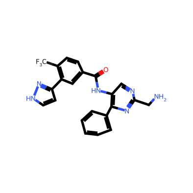 NCc1ncc(NC(=O)c2ccc(C(F)(F)F)c(-c3cc[nH]n3)c2)c(-c2ccccc2)n1